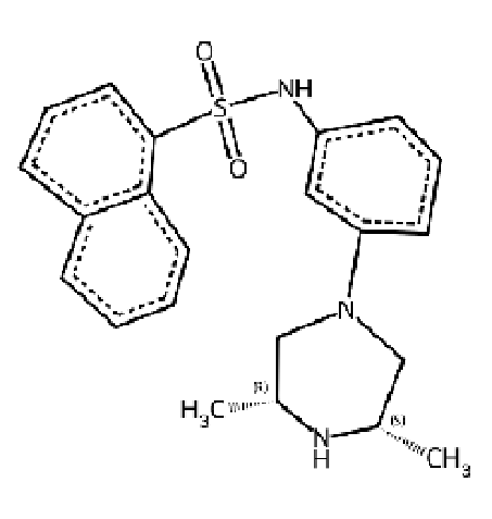 C[C@@H]1CN(c2cccc(NS(=O)(=O)c3cccc4ccccc34)c2)C[C@H](C)N1